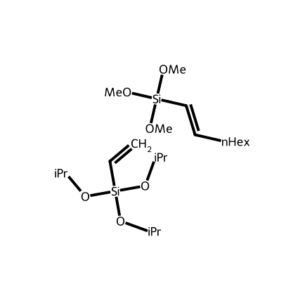 C=C[Si](OC(C)C)(OC(C)C)OC(C)C.CCCCCCC=C[Si](OC)(OC)OC